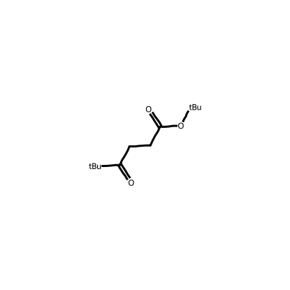 CC(C)(C)OC(=O)CCC(=O)C(C)(C)C